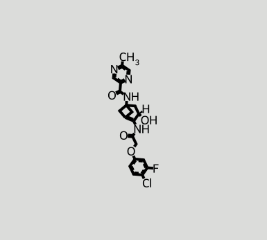 Cc1cnc(C(=O)NC23CC(=C(NC(=O)COc4ccc(Cl)c(F)c4)[C@@H](O)C2)C3)cn1